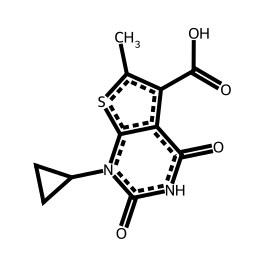 Cc1sc2c(c1C(=O)O)c(=O)[nH]c(=O)n2C1CC1